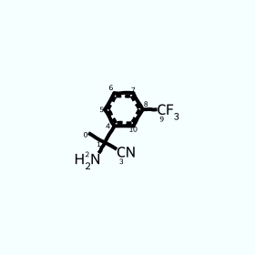 CC(N)(C#N)c1cccc(C(F)(F)F)c1